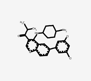 CC(C)C(=O)c1cnc2ccc(-c3cc(Cl)cc(Cl)c3)cc2c1NC1CCC(N)CC1